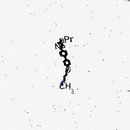 C/C=C/CCCOc1ccc(-c2ccc(-c3ncc(CCC)s3)cc2)cc1